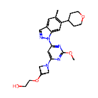 COc1nc(N2CC(OCCO)C2)cc(-n2ncc3cc(C)c(C4CCOCC4)cc32)n1